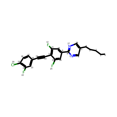 CCCCCc1cnc(-c2cc(F)c(C#Cc3ccc(Cl)c(F)c3)c(F)c2)nc1